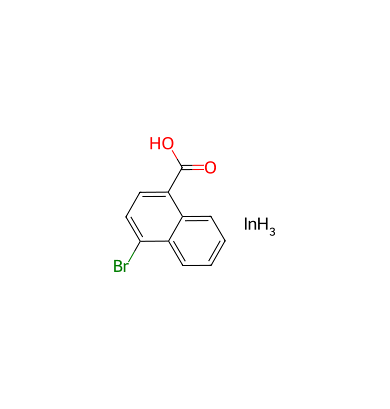 O=C(O)c1ccc(Br)c2ccccc12.[InH3]